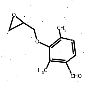 Cc1ccc(C=O)c(C)c1OCC1CO1